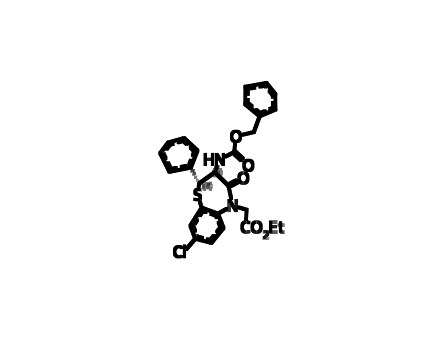 CCOC(=O)CN1C(=O)[C@H](NC(=O)OCc2ccccc2)[C@@H](c2ccccc2)Sc2cc(Cl)ccc21